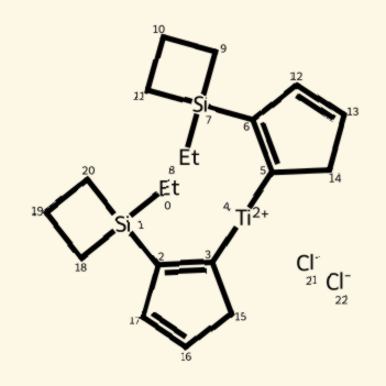 CC[Si]1(C2=[C]([Ti+2][C]3=C([Si]4(CC)CCC4)C=CC3)CC=C2)CCC1.[Cl-].[Cl-]